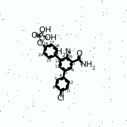 NC(=O)c1cc(-c2ccc(Cl)cc2)cc(-c2ccc(OP(=O)(O)O)cc2)c1N